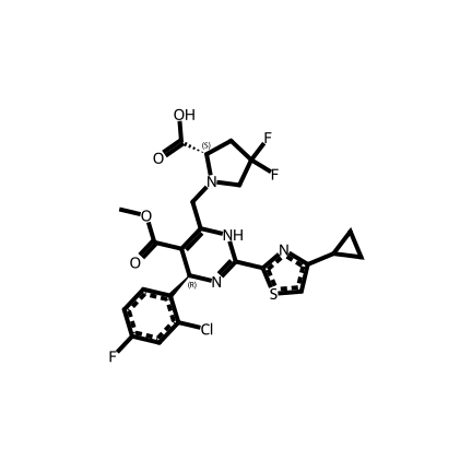 COC(=O)C1=C(CN2CC(F)(F)C[C@H]2C(=O)O)NC(c2nc(C3CC3)cs2)=N[C@H]1c1ccc(F)cc1Cl